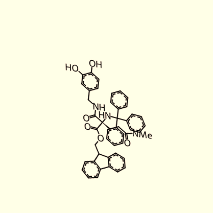 CNC(=O)CC[C@](NC(c1ccccc1)(c1ccccc1)c1ccccc1)(C(=O)NCc1ccc(O)c(O)c1)C(=O)OCC1c2ccccc2-c2ccccc21